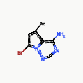 CC(=O)c1cc(Br)n2ncnc(N)c12